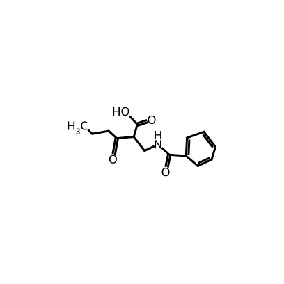 CCCC(=O)C(CNC(=O)c1ccccc1)C(=O)O